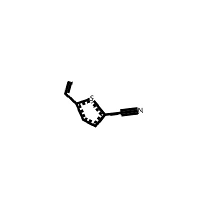 C=Cc1ccc(C#N)s1